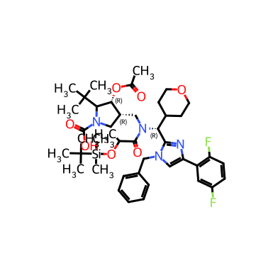 CC(=O)O[C@H]1C(C(C)(C)C)N(C(=O)O)C[C@H]1CN(C(=O)C(C)O[Si](C)(C)C(C)(C)C)[C@@H](c1nc(-c2cc(F)ccc2F)cn1Cc1ccccc1)C1CCOCC1